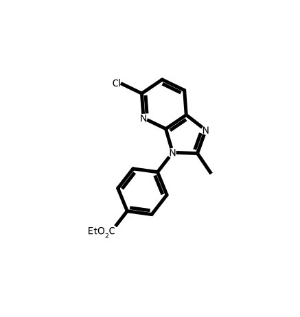 CCOC(=O)c1ccc(-n2c(C)nc3ccc(Cl)nc32)cc1